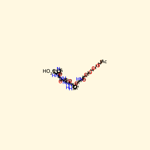 CC(=O)SCCOCCOCCOCCOCCC(=O)NCCCOc1ccccc1CNC(=O)Nc1nc(C(=O)NCC(=O)NC(CC(=O)O)c2cccnc2)cs1